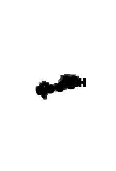 CCCc1c(OC)cccc1OCCCOc1ccc2c(c1)CC[C@H]2C(CC)C(=O)O